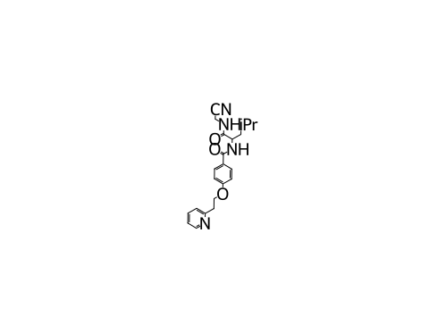 CC(C)CC(NC(=O)c1ccc(OCCc2ccccn2)cc1)C(=O)NCC#N